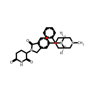 CN1C[C@H]2CC(c3ccc4c(c3)CN(C3CCC(=O)NC3=O)C4=O)C[C@@H](C1)N2Cc1ccccc1